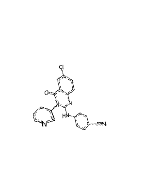 N#Cc1ccc(Nc2nc3ccc(Cl)cc3c(=O)n2-c2cccnc2)cc1